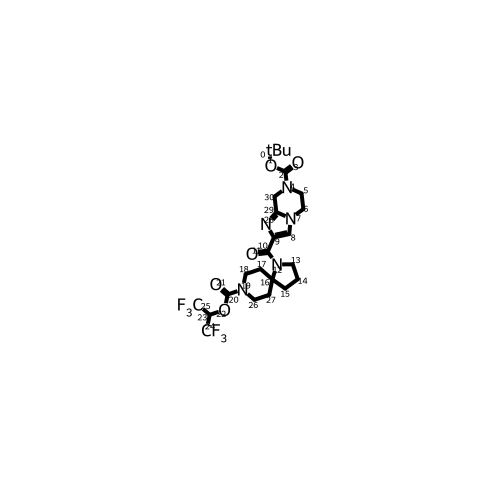 CC(C)(C)OC(=O)N1CCn2cc(C(=O)N3CCCC34CCN(C(=O)OC(C(F)(F)F)C(F)(F)F)CC4)nc2C1